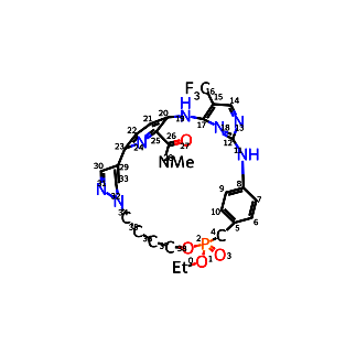 CCOP1(=O)Cc2ccc(cc2)Nc2ncc(C(F)(F)F)c(n2)Nc2ccc(nc2C(=O)NC)-c2cnn(c2)CCCCO1